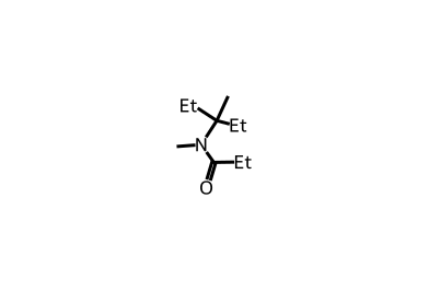 CCC(=O)N(C)C(C)(CC)CC